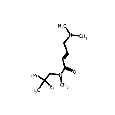 CCCC(C)(CC)CN(C)C(=O)/C=C/CN(C)C